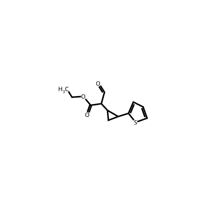 CCOC(=O)C(C=O)C1CC1c1cccs1